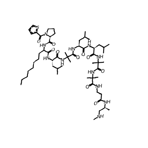 CCCCCCCCC(NC(=O)[C@@H]1CCCN1C(=O)c1cccs1)C(=O)N[C@@H](CC(C)C)C(=O)NC(C)(C)C(=O)N[C@@H](CC(C)C)C(=O)N[C@@H](CC(C)C)C(=O)NC(C)(C)C(=O)NC(C)(C)C(=O)NCCC(=O)N[C@@H](C)CNC